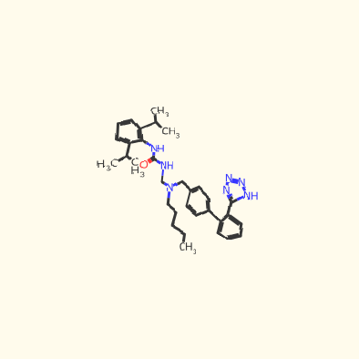 CCCCCN(CNC(=O)Nc1c(C(C)C)cccc1C(C)C)Cc1ccc(-c2ccccc2-c2nnn[nH]2)cc1